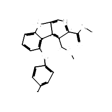 CNC(=O)c1ncc2[nH]c3cccc(Oc4ccc(Cl)cc4)c3c2c1COC